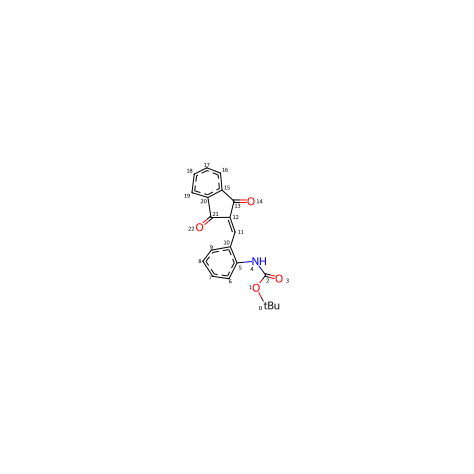 CC(C)(C)OC(=O)Nc1ccccc1C=C1C(=O)c2ccccc2C1=O